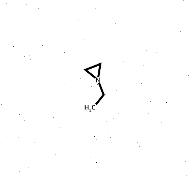 C[CH]N1CC1